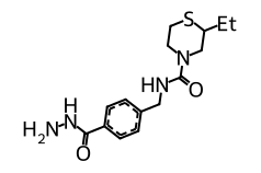 CCC1CN(C(=O)NCc2ccc(C(=O)NN)cc2)CCS1